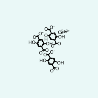 O=C([O-])c1cc(O)c(C(=O)[O-])cc1O.O=C([O-])c1cc(O)c(C(=O)[O-])cc1O.O=C([O-])c1cc(O)c(C(=O)[O-])cc1O.[Ce+3].[Ce+3]